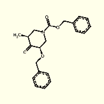 C[C@H]1CN(C(=O)OCc2ccccc2)C[C@@H](OCc2ccccc2)C1=O